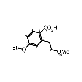 CCOc1ccc(C(=O)O)c(CCOC)c1